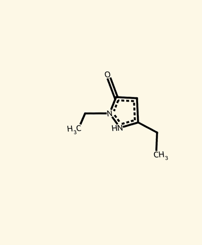 CCc1cc(=O)n(CC)[nH]1